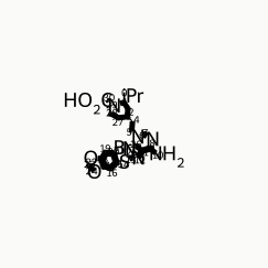 CC(C)[C@@H]1C[C@H](CCn2cnc(N)c3nc(Sc4cc5c(cc4Br)OCO5)nc2-3)CCN1C(=O)O